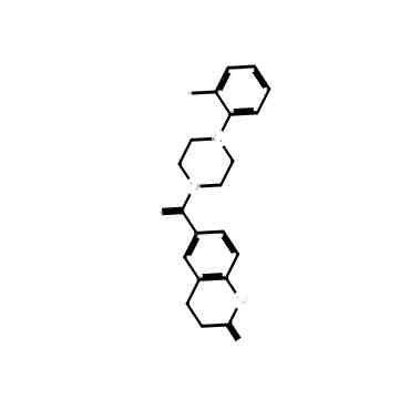 O=C1CCc2cc(C(=O)N3CCN(c4ccccc4Cl)CC3)ccc2N1